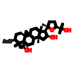 CC(=O)O[C@H]1CC[C@]23C[C@]24CC[C@]2(C)[C@@H]([C@@]5(C)CC[C@@H](C(C)(C)O)O5)[C@@H](O)C[C@@]2(C)C4C[C@H](O)[C@H]3C1(C)C